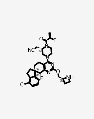 C=C(F)C(=O)N1CCN(c2nc(OC[C@@H]3CCN3)nc3c2CC[C@@]2(CCc4c(Cl)cccc42)[C@H]3F)C[C@@H]1CC#N